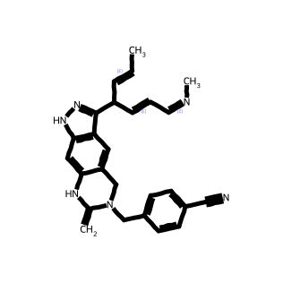 C=C1Nc2cc3[nH]nc(C(/C=C/C)/C=C/C=N\C)c3cc2CN1Cc1ccc(C#N)cc1